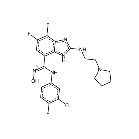 O/N=C(\Nc1ccc(F)c(Cl)c1)c1cc(F)c(F)c2nc(NCCN3CCCC3)[nH]c12